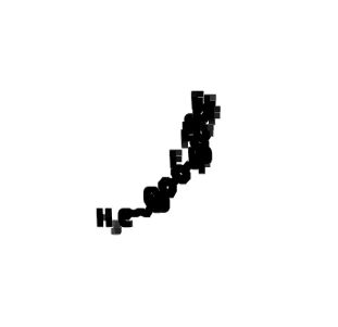 CCCCCC1COC(c2ccc(-c3ccc(CCC(F)(F)Oc4cc(F)c(C(F)(F)Oc5cc(F)c(F)c(F)c5)c(F)c4)c(F)c3)cc2)OC1